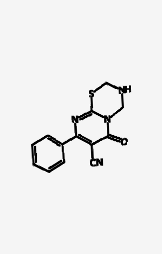 N#Cc1c(-c2ccccc2)nc2n(c1=O)CNCS2